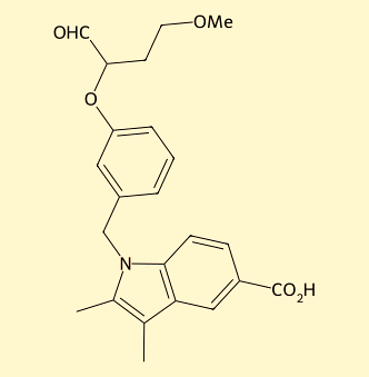 COCCC(C=O)Oc1cccc(Cn2c(C)c(C)c3cc(C(=O)O)ccc32)c1